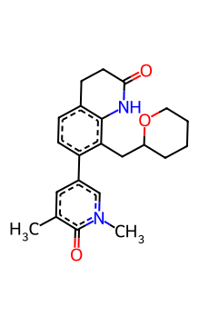 Cc1cc(-c2ccc3c(c2CC2CCCCO2)NC(=O)CC3)cn(C)c1=O